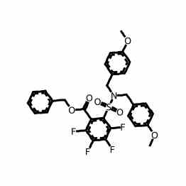 COc1ccc(CN(Cc2ccc(OC)cc2)S(=O)(=O)c2c(F)c(F)c(F)c(F)c2C(=O)OCc2ccccc2)cc1